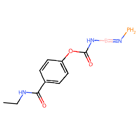 CCNC(=O)c1ccc(OC(=O)N/B=N/P)cc1